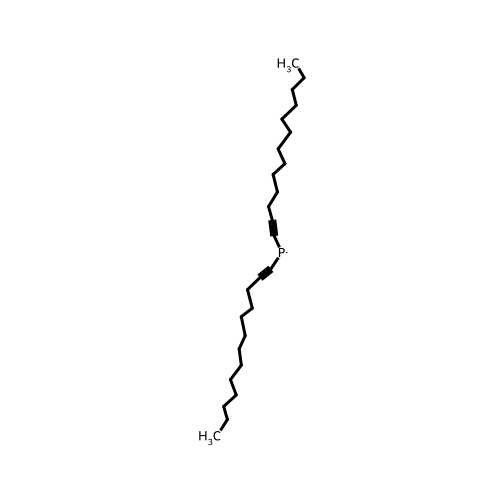 CCCCCCCCCCCC#C[P]C#CCCCCCCCCCCC